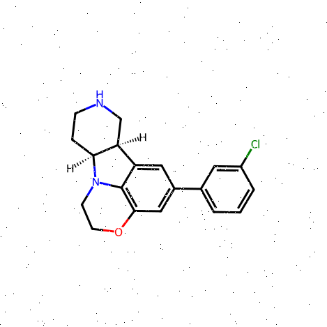 Clc1cccc(-c2cc3c4c(c2)[C@@H]2CNCC[C@@H]2N4CCO3)c1